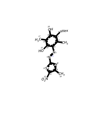 CCCCCCc1c(C)c(/N=N/c2nc(C)c([N+](=O)[O-])s2)c(O)c(C)c1O